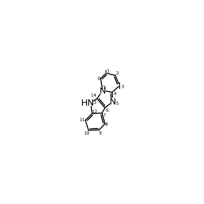 C1=IC=Ic2nc3c4ccccc4[nH]c3n21